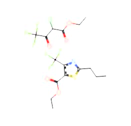 CCCc1nc(C(F)(F)F)c(C(=O)OCC)s1.CCOC(=O)C(Cl)C(=O)C(F)(F)F